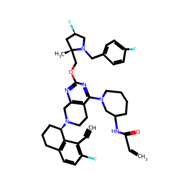 C#Cc1c(F)ccc2c1[C@H](N1CCc3c(nc(OC[C@]4(C)C[C@@H](F)CN4Cc4ccc(F)cc4)nc3N3CCCCC(NC(=O)C=C)C3)C1)CCC2